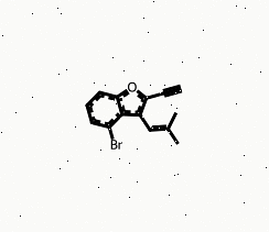 C#Cc1oc2cccc(Br)c2c1C=C(C)C